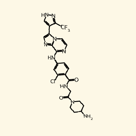 NC1CCN(C(=O)CNC(=O)c2ccc(Nc3nccn4c(-c5c[nH]nc5C(F)(F)F)cnc34)cc2Cl)CC1